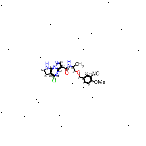 COc1ccc(COCC(C)NC(=O)c2cnn3c4c(c(Cl)nc23)CCN4)cc1N=O